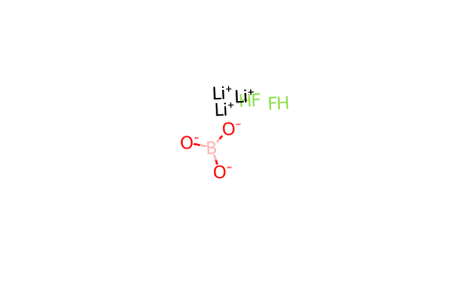 F.F.[Li+].[Li+].[Li+].[O-]B([O-])[O-]